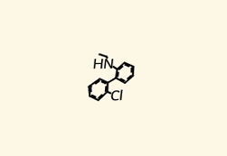 CCNc1ccccc1-c1ccccc1Cl